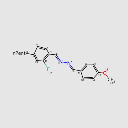 CCCCCc1ccc(C=NN=Cc2ccc(OC(F)(F)F)cc2)c(F)c1